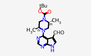 C[C@@H]1CN(c2ncnc3[nH]cc(C=O)c23)[C@@H](C)CN1C(=O)OC(C)(C)C